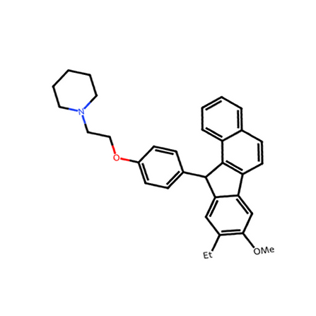 CCc1cc2c(cc1OC)-c1ccc3ccccc3c1C2c1ccc(OCCN2CCCCC2)cc1